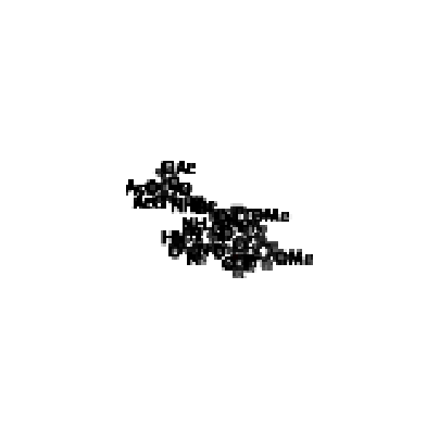 COc1ccc(C(OC(C(=O)C(C)C)[C@H]2O[C@@H](n3cnc4c(=O)[nH]c(N)nc43)C[C@@H]2OP(=O)(OCCOCCO[C@@H]2O[C@H](COC(C)=O)[C@H](OC(C)=O)[C@H](OC(C)=O)[C@H]2NC(C)=O)N(C(C)C)C(C)C)(c2ccccc2)c2ccc(OC)cc2)cc1